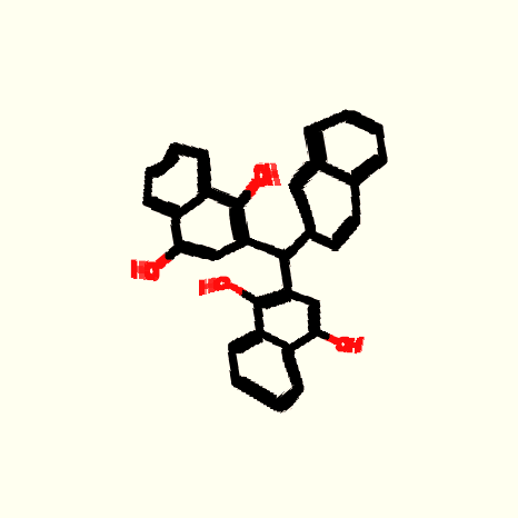 Oc1cc(C(c2ccc3ccccc3c2)c2cc(O)c3ccccc3c2O)c(O)c2ccccc12